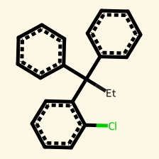 CCC(c1ccccc1)(c1ccccc1)c1ccccc1Cl